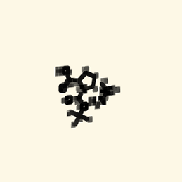 CC(C)(C)OC(=O)N1CCCC1C(=O)O.CCN.Cl